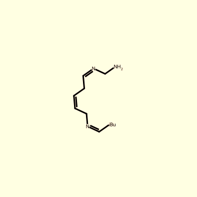 CCC(C)/C=N\C/C=C\C/C=N\CN